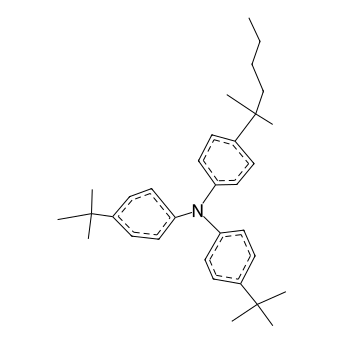 CCCCC(C)(C)c1ccc(N(c2ccc(C(C)(C)C)cc2)c2ccc(C(C)(C)C)cc2)cc1